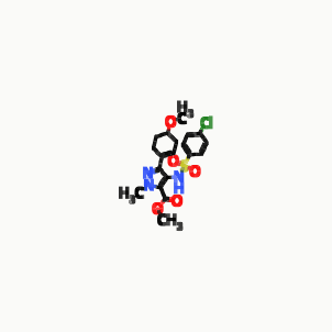 COC(=O)c1c(NS(=O)(=O)c2ccc(Cl)cc2)c(C2=CCC(OC)CC2)nn1C